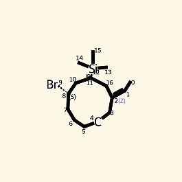 C/C=C1/CCCCC[C@H](Br)C[C@H]([Si](C)(C)C)C1